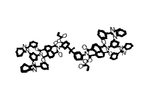 C=CC(=O)Oc1ccc(C(C)(C)c2ccc(OC(=O)C=C)c(N3C(=O)c4ccc5c6c(ccc(c46)C3=O)C(=O)N(c3cc(-n4c(-c6ccccc6)nc6ccccc64)cc(-n4c(-c6ccccc6)nc6ccccc64)c3)C5=O)c2)cc1N1C(=O)c2ccc3c4c(ccc(c24)C1=O)C(=O)N(c1cc(-n2c(-c4ccccc4)nc4ccccc42)cc(-n2c(-c4ccccc4)nc4ccccc42)c1)C3=O